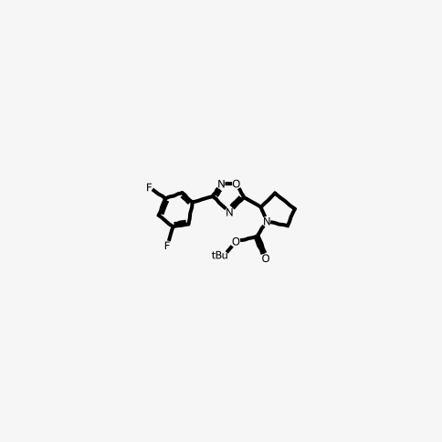 CC(C)(C)OC(=O)N1CCCC1c1nc(-c2cc(F)cc(F)c2)no1